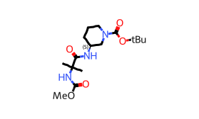 COC(=O)NC(C)(C)C(=O)N[C@H]1CCCN(C(=O)OC(C)(C)C)C1